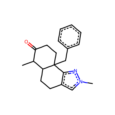 CC1C(=O)CCC2(Cc3ccccc3)c3nn(C)cc3CCC12